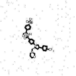 CCS(=O)(=O)c1ccc([C@H](CO)NC(=O)c2ccc(N3CC(c4ccc(C(F)(F)F)cc4)C[C@H]3CN3CCCOC3)cc2)cc1